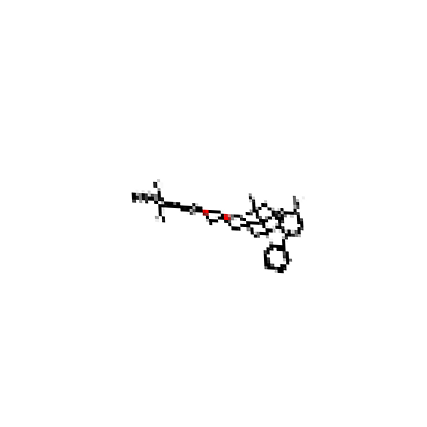 CC(C)(C)C(CCCCCCCCC(=O)O)(C(C)(C)C)C1(CCCCCCCCCC(=O)O)c2ccccc2-c2ccc(Br)cc21